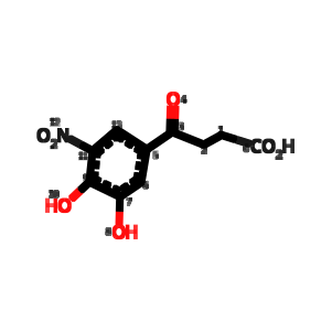 O=C(O)CCC(=O)c1cc(O)c(O)c([N+](=O)[O-])c1